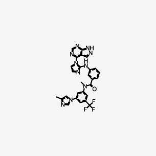 Cc1cn(-c2cc(N(C)C(=O)c3cccc(Nc4nccn4-c4ncnc5[nH]ncc45)c3)cc(C(F)(F)F)c2)cn1